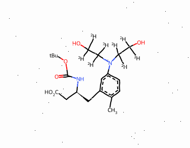 [2H]C([2H])(O)C([2H])([2H])N(c1ccc(C)c(C[C@@H](CC(=O)O)NC(=O)OC(C)(C)C)c1)C([2H])([2H])C([2H])([2H])O